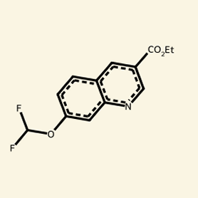 CCOC(=O)c1cnc2cc(OC(F)F)ccc2c1